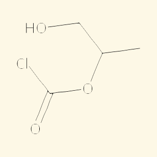 CC(CO)OC(=O)Cl